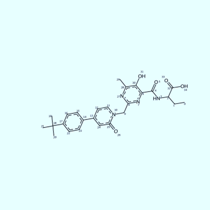 CCC(NC(=O)c1nc(Cn2ccc(-c3ccc(C(C)(C)C)cc3)cc2=O)nc(C)c1O)C(=O)O